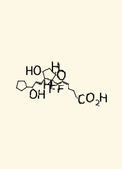 O=C(O)CCCC=C1O[C@H]2C[C@@H](O)[C@H](C=C[C@H](O)C3CCCC3)[C@H]2C1(F)F